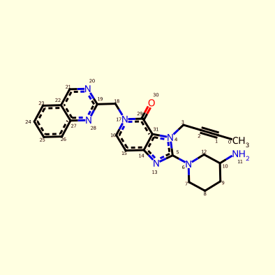 CC#CCn1c(N2CCCC(N)C2)nc2ccn(Cc3ncc4ccccc4n3)c(=O)c21